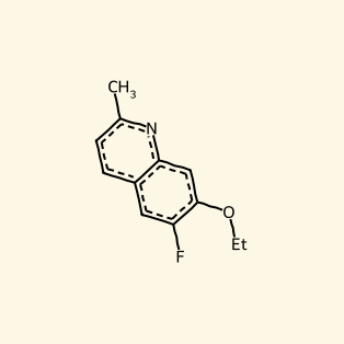 CCOc1cc2nc(C)ccc2cc1F